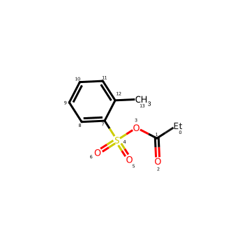 CCC(=O)OS(=O)(=O)c1ccccc1C